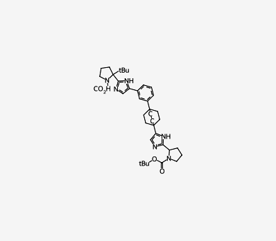 CC(C)(C)OC(=O)N1CCCC1c1ncc(C23CCC(c4cccc(-c5cnc(C6(C(C)(C)C)CCCN6C(=O)O)[nH]5)c4)(CC2)CC3)[nH]1